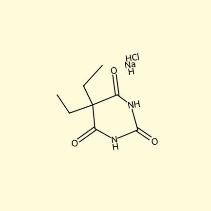 CCC1(CC)C(=O)NC(=O)NC1=O.Cl.[NaH]